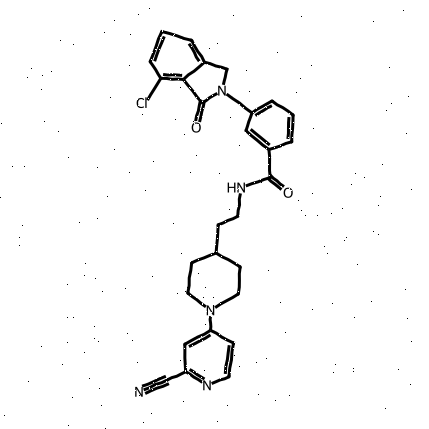 N#Cc1cc(N2CCC(CCNC(=O)c3cccc(N4Cc5cccc(Cl)c5C4=O)c3)CC2)ccn1